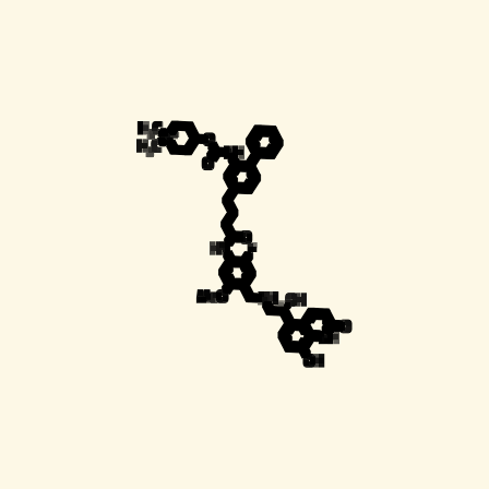 COc1cc(NC(=O)CCCc2ccc(-c3ccccc3)c(NC(=O)OC3CC[N+](C)(C)CC3)c2)c(F)cc1CNC[C@H](O)c1ccc(O)c2[nH]c(=O)ccc12